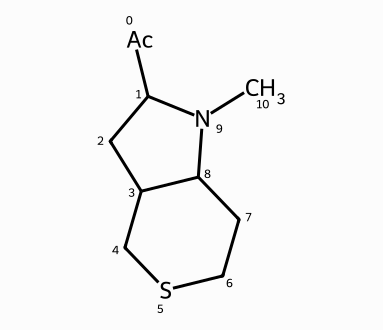 CC(=O)C1CC2CSCCC2N1C